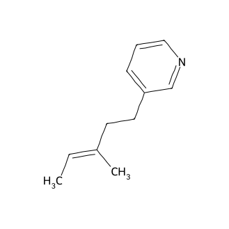 C/C=C(\C)CCc1cccnc1